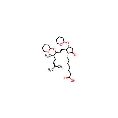 CC(C)=CCC(C)[C@H](/C=C/[C@H]1[C@H](OC2CCCCO2)CC(=O)[C@@H]1CCCCCCC(=O)O)OC1CCCCO1